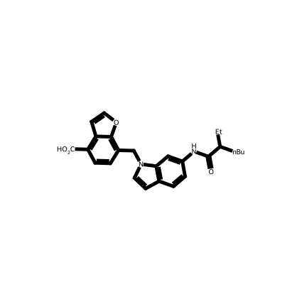 CCCCC(CC)C(=O)Nc1ccc2ccn(Cc3ccc(C(=O)O)c4ccoc34)c2c1